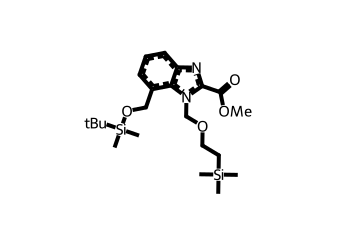 COC(=O)c1nc2cccc(CO[Si](C)(C)C(C)(C)C)c2n1COCC[Si](C)(C)C